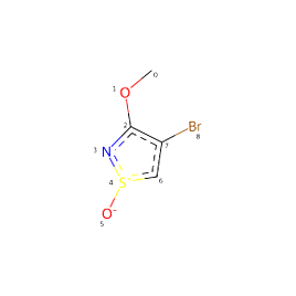 COc1n[s+]([O-])cc1Br